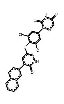 O=c1cnn(-c2cc(Cl)c(Oc3cc(-c4ccc5ccccc5c4)c(=O)[nH]n3)c(Cl)c2)c(=O)[nH]1